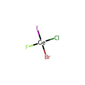 [F][Ge]([Cl])([Br])[I]